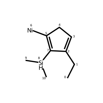 CCC1=CC[C]([Ni])=C1[SiH](C)C